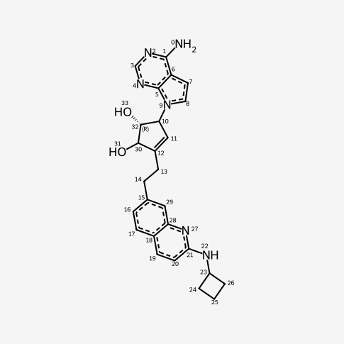 Nc1ncnc2c1ccn2C1C=C(CCc2ccc3ccc(NC4CCC4)nc3c2)C(O)[C@@H]1O